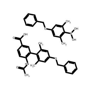 CC(=O)Nc1ccc(C(=O)O)cc1-c1c(C)cc(OCc2ccccc2)cc1C.Cc1cc(OCc2ccccc2)cc(C)c1B(O)O